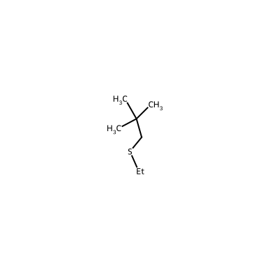 [CH2]CSCC(C)(C)C